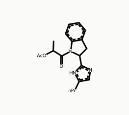 CCCc1cnc(C2Cc3ccccc3N2C(=O)C(C)OC(C)=O)[nH]1